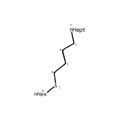 CCCCCCCCCC[CH]SCCCCCC